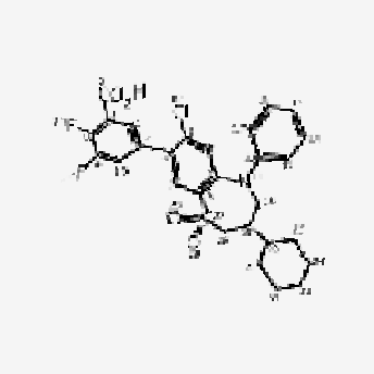 O=C(O)c1cc(-c2cc3c(cc2Cl)N(c2ccccc2)C[C@@H](C2CCCCC2)CS3(=O)=O)cc(F)c1F